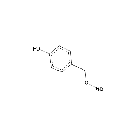 O=NOCc1ccc(O)cc1